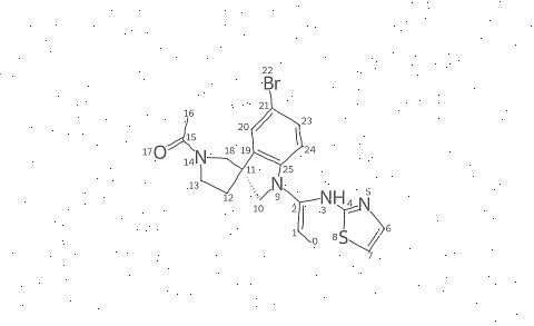 CC=C(Nc1nccs1)N1C[C@@]2(CCN(C(C)=O)C2)c2cc(Br)ccc21